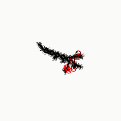 C=C(C)C(=O)OCCCc1cc(-c2ccc(-c3ccc(-c4ccc(C5CCC(CCCCC)CC5)cc4)c(CC)c3)cc2CC)cc(CCCOC(=O)C(=C)C)c1OCCC(C)(CO)CCCC